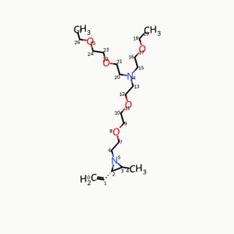 C=C[C@H]1C(C)N1CCOCCOCCN(CCOCC)CCOCCOCC